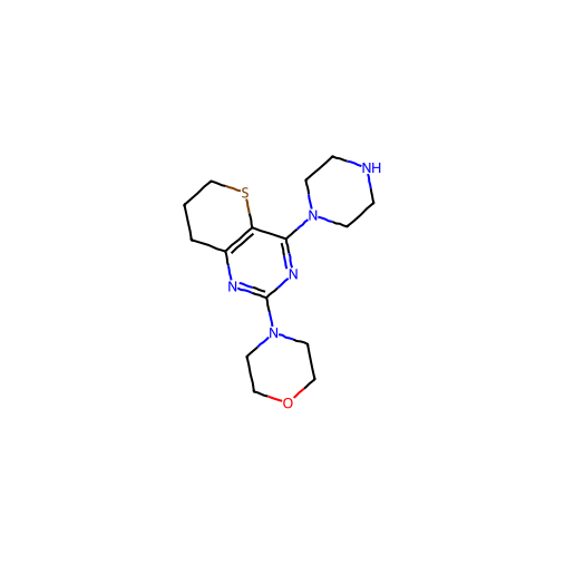 C1CSc2c(nc(N3CCOCC3)nc2N2CCNCC2)C1